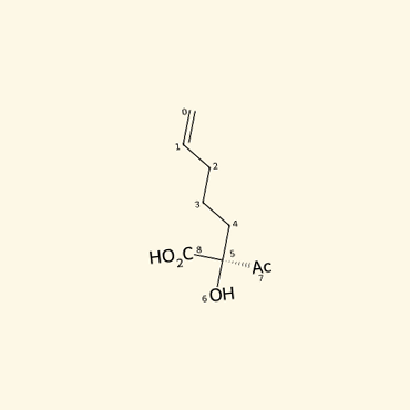 C=CCCC[C@](O)(C(C)=O)C(=O)O